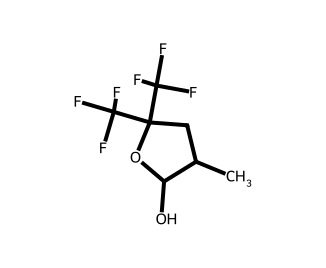 CC1CC(C(F)(F)F)(C(F)(F)F)OC1O